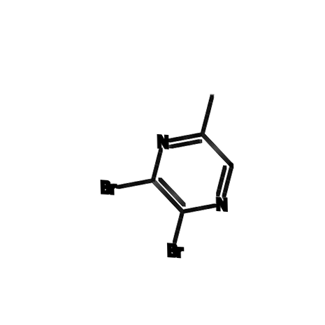 Cc1cnc(Br)c(Br)n1